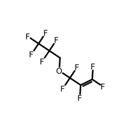 FC(F)=C(F)C(F)(F)OCC(F)(F)C(F)(F)F